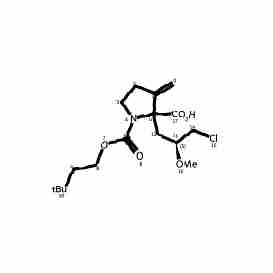 C=C1CCN(C(=O)OCCC(C)(C)C)C1(C[C@@H](CCl)OC)C(=O)O